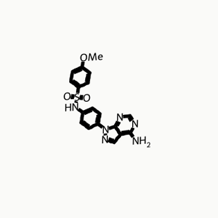 COc1ccc(S(=O)(=O)Nc2ccc(-n3ncc4c(N)ncnc43)cc2)cc1